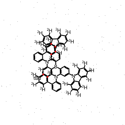 [2H]c1c([2H])c([2H])c(-c2ccccc2N2c3cc(-n4c5c([2H])c([2H])c([2H])c([2H])c5c5c([2H])c([2H])c([2H])c([2H])c54)ccc3B3c4ccc(-n5c6c([2H])c([2H])c([2H])c([2H])c6c6c([2H])c([2H])c([2H])c([2H])c65)cc4N(c4ccccc4-c4c([2H])c([2H])c([2H])c([2H])c4[2H])c4cc(C(C)(C)C)cc2c43)c([2H])c1[2H]